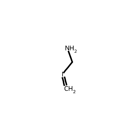 C=ICN